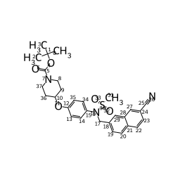 CC(C)(C)OC(=O)N1CCC(Oc2ccc(N(Cc3ccc4ccc(C#N)cc4c3)S(C)(=O)=O)cc2)CC1